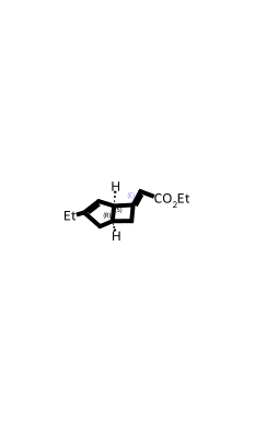 CCOC(=O)/C=C1\C[C@H]2CC(CC)=C[C@@H]12